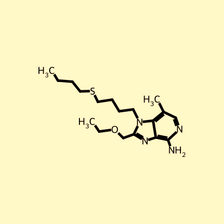 CCCCSCCCCn1c(COCC)nc2c(N)ncc(C)c21